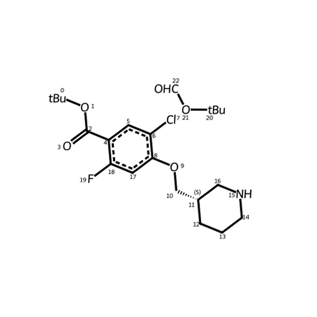 CC(C)(C)OC(=O)c1cc(Cl)c(OC[C@H]2CCCNC2)cc1F.CC(C)(C)OC=O